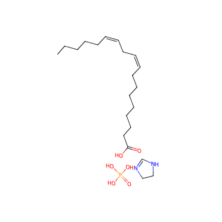 C1=NCCN1.CCCCC/C=C\C/C=C\CCCCCCCC(=O)O.O=P(O)(O)O